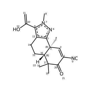 [C-]#[N+]C1=C[C@]2(C)c3nn(C)c(C(=C)O)c3CC[C@H]2C(C)(C)C1=O